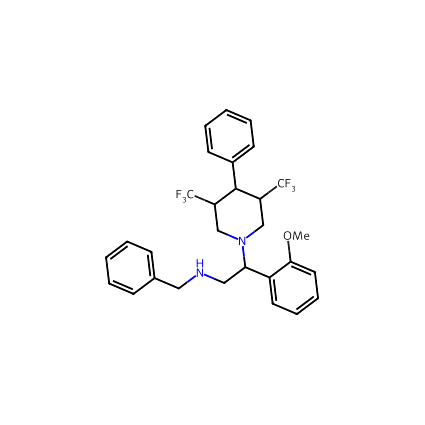 COc1ccccc1C(CNCc1ccccc1)N1CC(C(F)(F)F)C(c2ccccc2)C(C(F)(F)F)C1